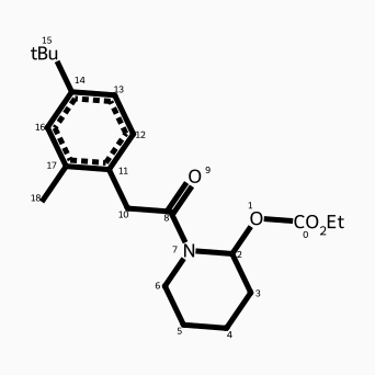 CCOC(=O)OC1CCCCN1C(=O)Cc1ccc(C(C)(C)C)cc1C